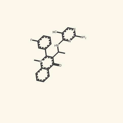 CC(Nc1nc(N)ncc1C#N)c1c(-c2cccc(F)c2)n(C)c2ccccc2c1=O